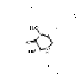 Br.CN1CCNCC1=O